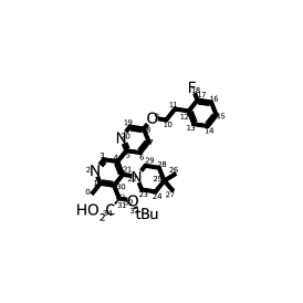 Cc1ncc(-c2ccc(OCCc3ccccc3F)cn2)c(N2CCC(C)(C)CC2)c1[C@H](OC(C)(C)C)C(=O)O